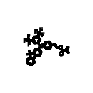 C=C(C)C(=O)OCCc1ccc(N(c2cc(C(F)(F)F)cc(C(F)(F)F)c2)c2ccc3c(c2)C(C)(C)c2ccccc2-3)cc1